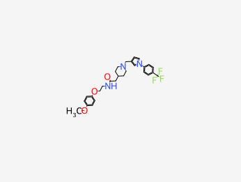 COc1ccc(OCCNC(=O)CC2CCN(Cc3ccn(-c4ccc(C(F)(F)F)cc4)c3)CC2)cc1